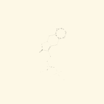 CCCCC[C@@H](CCC1=C2Cc3cccc(O)c3CC2CC1=O)O[Si](C)(C)C(C)(C)C